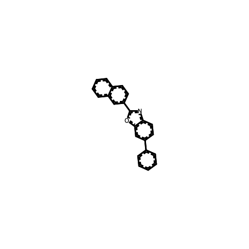 c1ccc(-c2ccc3nc(-c4ccc5ccccc5c4)oc3c2)cc1